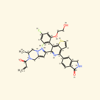 C=CC(=O)N1Cc2cc(-c3nc(-c4ccc5c(c4)CNC5=O)c4ccsc4c3-c3c(F)cc(F)cc3OCCO)nn2CC1C